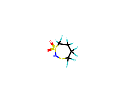 O=S1(=O)NSC(F)(F)C(F)(F)C(F)(F)C1(F)F